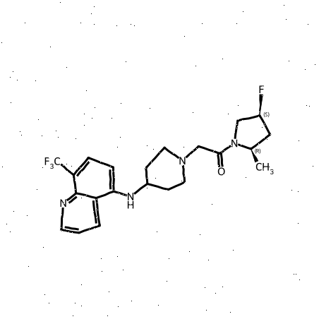 C[C@@H]1C[C@H](F)CN1C(=O)CN1CCC(Nc2ccc(C(F)(F)F)c3ncccc23)CC1